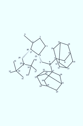 CC1CC[C@H](CP(C23CC4CC(CC(C4)C2)C3)C23CC4CC(CC(C4)C2)C3)[C@@H]1CP(C(C)(C)C)C(C)(C)C